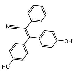 N#CC(=C(c1ccc(O)cc1)c1ccc(O)cc1)c1ccccc1